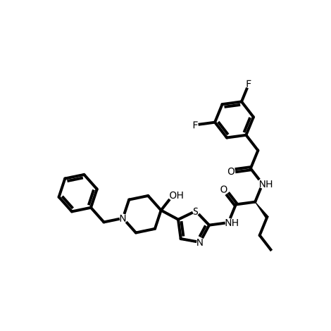 CCC[C@H](NC(=O)Cc1cc(F)cc(F)c1)C(=O)Nc1ncc(C2(O)CCN(Cc3ccccc3)CC2)s1